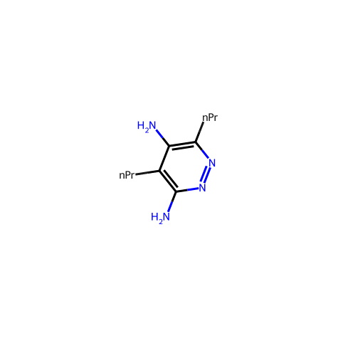 CCCc1nnc(N)c(CCC)c1N